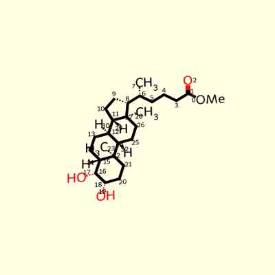 COC(=O)CCC[C@@H](C)[C@H]1CC[C@H]2[C@@H]3CC[C@H]4[C@@H](O)[C@@H](O)CC[C@]4(C)[C@H]3CC[C@]12C